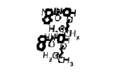 CN(C)CCOc1cc(NC(=O)c2cccc3ccccc23)ccc1I.CN(C)CCOc1cc(NC(=O)c2ccnc3ccccc23)ccc1I